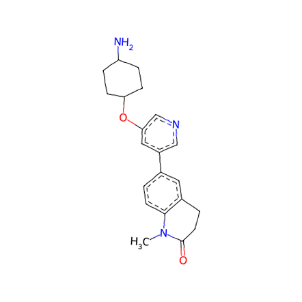 CN1C(=O)CCc2cc(-c3cncc(OC4CCC(N)CC4)c3)ccc21